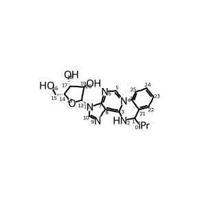 CC(C)C(Nc1ncnc2c1ncn2[C@@H]1O[C@H](CO)[C@H](O)C1O)c1ccccc1